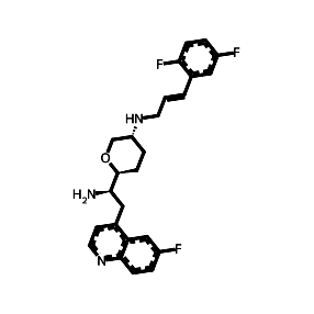 N[C@H](Cc1ccnc2ccc(F)cc12)[C@@H]1CC[C@@H](NC/C=C/c2cc(F)ccc2F)CO1